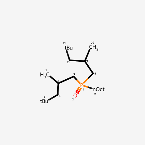 CCCCCCCCP(=O)(CC(C)CC(C)(C)C)CC(C)CC(C)(C)C